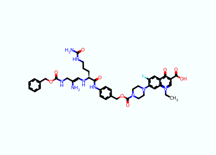 CCn1cc(C(=O)O)c(=O)c2cc(F)c(N3CCN(C(=O)OCc4ccc(NC(=O)[C@H](CCCNC(N)=O)N/C=C(\N)CNC(=O)OCc5ccccc5)cc4)CC3)cc21